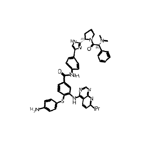 CC(C)c1ccc2c(Nc3cc(C(=O)Nc4ccc(-c5c[nH]c([C@@H]6CCCN6C(=O)[C@@H](c6ccccc6)N(C)C)n5)cc4)ccc3Sc3ccc(N)cc3)ncnc2n1